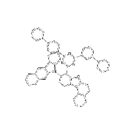 c1ccc(-c2ccc(-c3nc(-c4cccc(-c5ccccc5)c4)nc(-c4c(-n5c6ccccc6c6cc7ccccc7cc65)ccc5c4oc4ccc6ccccc6c45)n3)cc2)cc1